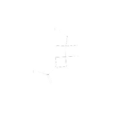 CC(C)(CO)C1(O)CN(C(=O)O)C1